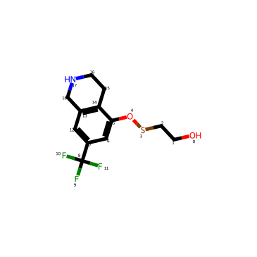 OCCSOc1cc(C(F)(F)F)cc2c1CCNC2